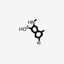 CNc1cc2c(C)cc(SC)cc2cc1SO